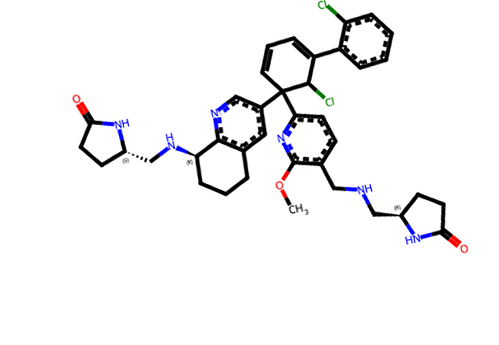 COc1nc(C2(c3cnc4c(c3)CCC[C@H]4NC[C@@H]3CCC(=O)N3)C=CC=C(c3ccccc3Cl)C2Cl)ccc1CNC[C@H]1CCC(=O)N1